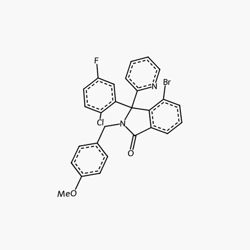 COc1ccc(CN2C(=O)c3cccc(Br)c3C2(c2ccccn2)c2cc(F)ccc2Cl)cc1